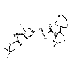 Cc1cc(NC(=O)C(=O)N2CC(C)CCC2C2CCCCC2)cnc1NC(=O)OC(C)(C)C